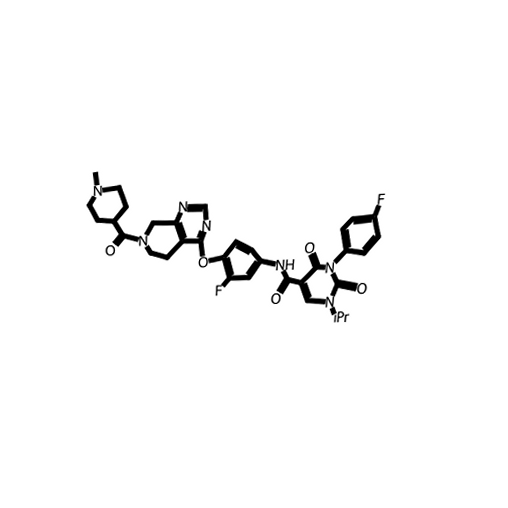 CC(C)n1cc(C(=O)Nc2ccc(Oc3ncnc4c3CCN(C(=O)C3CCN(C)CC3)C4)c(F)c2)c(=O)n(-c2ccc(F)cc2)c1=O